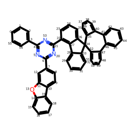 c1ccc(-c2nc(-c3ccc4c(c3)oc3ccccc34)nc(-c3cccc4c3-c3ccccc3C43c4ccccc4-c4ccccc4-c4ccccc43)n2)cc1